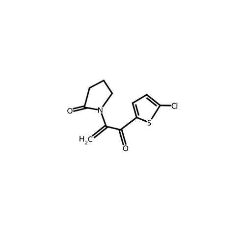 C=C(C(=O)c1ccc(Cl)s1)N1CCCC1=O